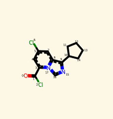 O=C(Cl)c1cc(Cl)cc2c(C3CCCC3)ncn12